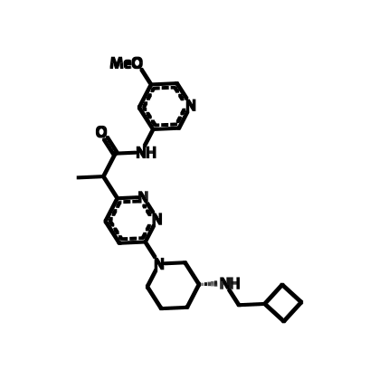 COc1cncc(NC(=O)C(C)c2ccc(N3CCC[C@@H](NCC4CCC4)C3)nn2)c1